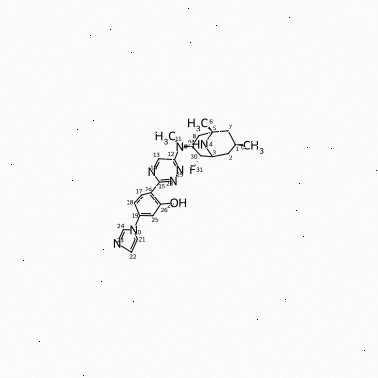 C[C@H]1CC2N[C@@](C)(C1)C[C@H](N(C)c1cnc(-c3ccc(-n4ccnc4)cc3O)nn1)[C@H]2F